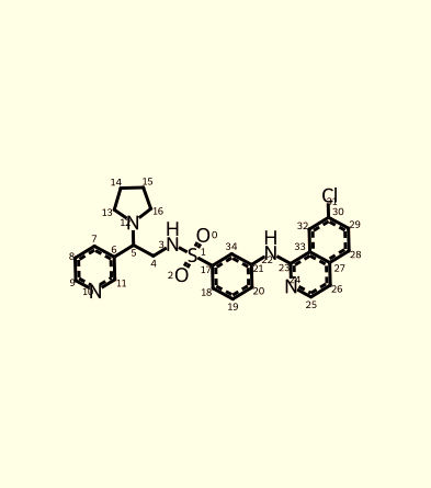 O=S(=O)(NCC(c1cccnc1)N1CCCC1)c1cccc(Nc2nccc3ccc(Cl)cc23)c1